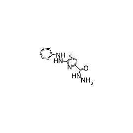 NNC(=O)c1csc(NNc2ccccc2)n1